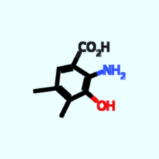 Cc1cc(C(=O)O)c(N)c(O)c1C